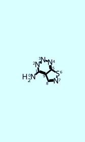 Nc1nnnc2sncc12